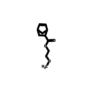 COCCOC(=O)C1CC2C=CC1C2